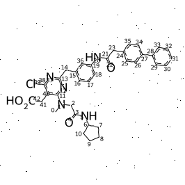 CN(CC(=O)NC1CCCC1)c1nc(Cc2cccc(NC(=O)Cc3ccc(-c4ccccc4)cc3)c2)nc(Cl)c1CC(=O)O